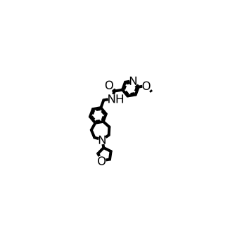 COc1ccc(C(=O)NCc2ccc3c(c2)CCN(C2CCOC2)CC3)cn1